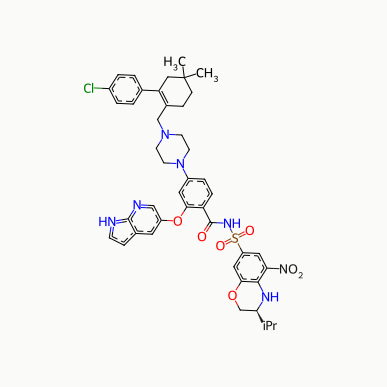 CC(C)[C@H]1COc2cc(S(=O)(=O)NC(=O)c3ccc(N4CCN(CC5=C(c6ccc(Cl)cc6)CC(C)(C)CC5)CC4)cc3Oc3cnc4[nH]ccc4c3)cc([N+](=O)[O-])c2N1